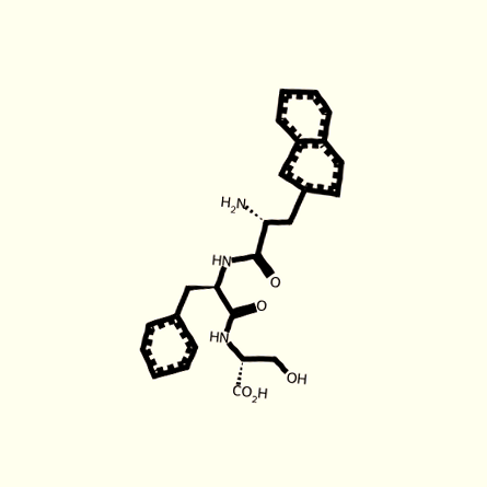 N[C@H](Cc1ccc2ccccc2c1)C(=O)N[C@H](Cc1ccccc1)C(=O)N[C@H](CO)C(=O)O